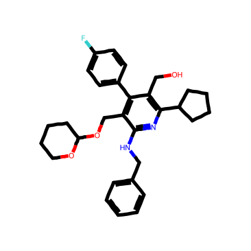 OCc1c(C2CCCC2)nc(NCc2ccccc2)c(COC2CCCCO2)c1-c1ccc(F)cc1